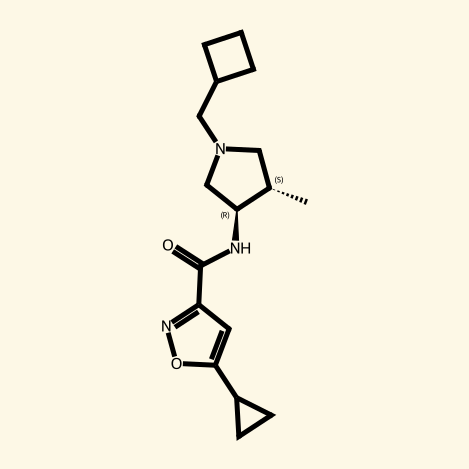 C[C@H]1CN(CC2CCC2)C[C@@H]1NC(=O)c1cc(C2CC2)on1